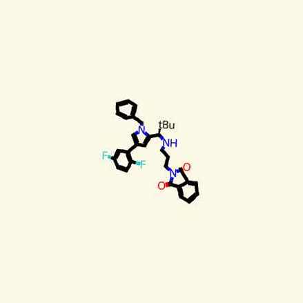 CC(C)(C)[C@@H](NCCCN1C(=O)c2ccccc2C1=O)c1cc(-c2cc(F)ccc2F)cn1Cc1ccccc1